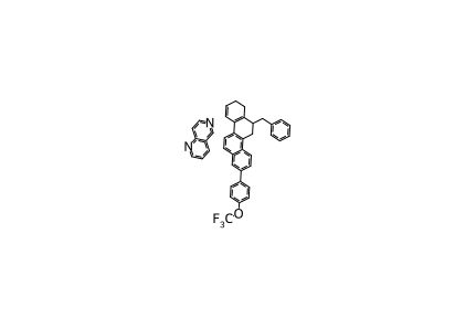 FC(F)(F)Oc1ccc(-c2ccc3c4c(ccc3c2)C2=C(CCC=C2)C(Cc2ccccc2)C4)cc1.c1cnc2ccncc2c1